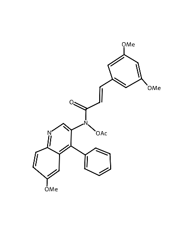 COc1cc(C=CC(=O)N(OC(C)=O)c2cnc3ccc(OC)cc3c2-c2ccccc2)cc(OC)c1